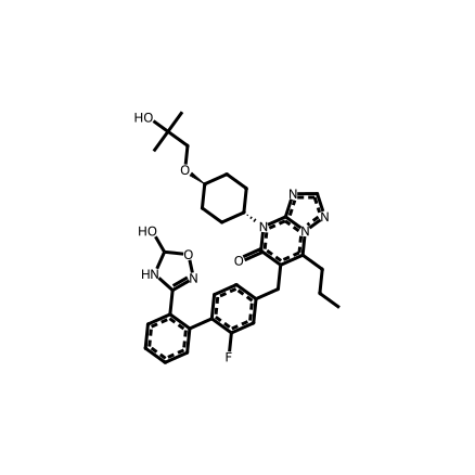 CCCc1c(Cc2ccc(-c3ccccc3C3=NOC(O)N3)c(F)c2)c(=O)n([C@H]2CC[C@H](OCC(C)(C)O)CC2)c2ncnn12